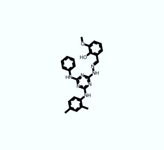 COc1cccc(C=NNc2nc(Nc3ccccc3)nc(Nc3ccc(C)cc3C)n2)c1O